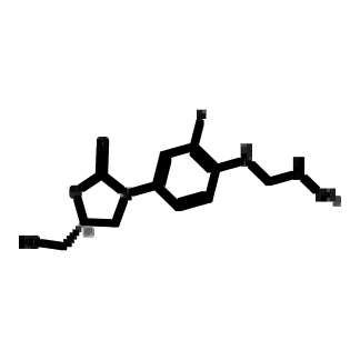 NNCNc1ccc(N2C[C@H](CO)OC2=O)cc1F